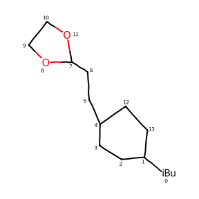 CCC(C)C1CCC(CCC2OCCO2)CC1